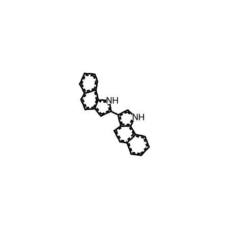 c1ccc2c(c1)ccc1cc(-c3c[nH]c4c3ccc3ccccc34)[nH]c12